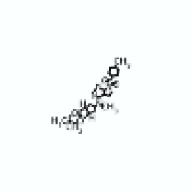 Cc1ccc(S(=O)(=O)n2ccc3c(N(C)C4C[C@@H]5CC6(C[C@@H]5C4)OCC(C)(C)CO6)ncnc32)cc1